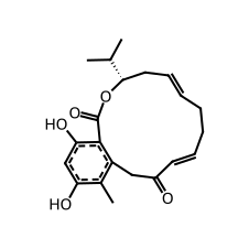 Cc1c(O)cc(O)c2c1CC(=O)/C=C/CC/C=C/C[C@@H](C(C)C)OC2=O